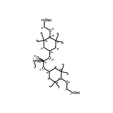 CCCCCCCC.CCCCCCCCCCCON1C(C)(C)CC(OC(=O)OC2CC(C)(C)N(OCCCCCCCCCCC)C(C)(C)C2)CC1(C)C